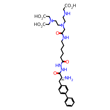 N[C@H](Cc1ccc(-c2ccccc2)cc1)C(=O)NNC(=O)CCCCCNC(=O)CN(CCNCC(=O)O)CCN(CC(=O)O)CC(=O)O